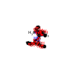 CC(=O)NC1C(O[C@@H](CC2CCCCC2)C(=O)O)[C@@H](O)C(CO)O[C@H]1O[C@@H]1CC(C(=O)NCCNC(=O)C2CC(OCc3cc4ccccc4oc3=O)C(O)[C@H](O[C@@H]3OC(CO)[C@H](O)C(OCc4cc5ccccc5oc4=O)C3O)C2)CC(n2cc(-c3ccccc3)nn2)C1O[C@@H]1OC(C)[C@@H](O)C(O)C1O